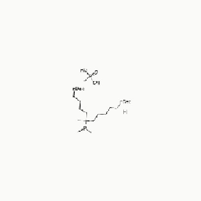 CCCCCCCCCCCCCCCC(C)(CCCCCCCCCCCCCC)P(C)C.CP(=O)(O)O.I